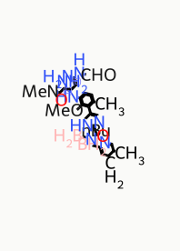 BC(B)(CCCC)N(CC1=CC(=C)C(C)C=N1)C(=O)C1=NC=C(c2c(C)ccc(NC(/C=C(\N)NC=O)=C(/N)C(=O)NC)c2OC)CN1